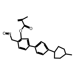 C=C(C)C(=O)Oc1cc(-c2ccc(C3CCC(C)CC3)cc2)ccc1CN=O